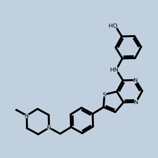 CN1CCN(Cc2ccc(-c3cc4ncnc(Nc5cccc(O)c5)c4s3)cc2)CC1